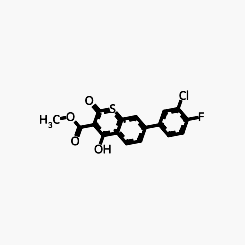 COC(=O)c1c(O)c2ccc(-c3ccc(F)c(Cl)c3)cc2sc1=O